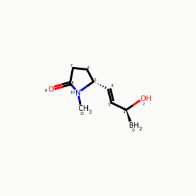 B[C@H](O)/C=C/[C@H]1CCC(=O)N1C